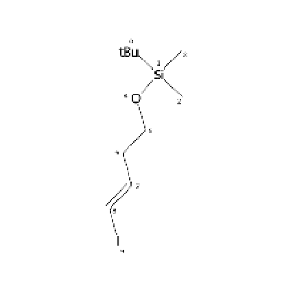 CC(C)(C)[Si](C)(C)OCC/C=C/I